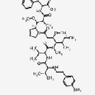 CCC(C)C(C(CC(=O)N1CCC[C@H]1C(OC)C(C)C(=O)NC(Cc1ccccc1)C(=O)O)OC)N(C)C(=O)C(NC(=O)C(NCCc1ccc(N)cc1)C(C)C)C(C)C